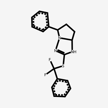 FC(F)(SC1=NN2C(CCC2c2ccccc2)N1)c1ccccc1